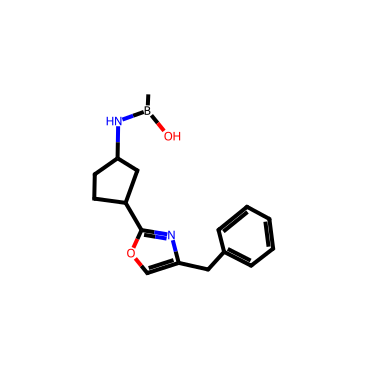 CB(O)NC1CCC(c2nc(Cc3ccccc3)co2)C1